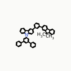 CC1(C)c2ccccc2-c2ccc(-c3cccc(-c4ccc5c(c4)c4ccccc4n5-c4cc(-c5ccccc5)cc(-c5ccccc5)c4)c3)cc21